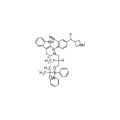 C[C@@H]1Cc2c([nH]c3ccccc23)[C@@H](c2ccc(C(F)C3CNC3)cc2C#N)N1CC(F)(F)CO[Si](c1ccccc1)(c1ccccc1)C(C)(C)C